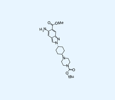 COC(=O)c1cc2nn([C@H]3CC[C@H](N4CCN(C(=O)OC(C)(C)C)CC4)CC3)cc2cc1N